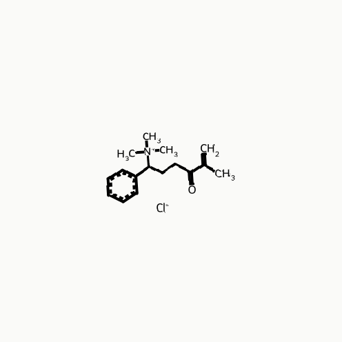 C=C(C)C(=O)CCC(c1ccccc1)[N+](C)(C)C.[Cl-]